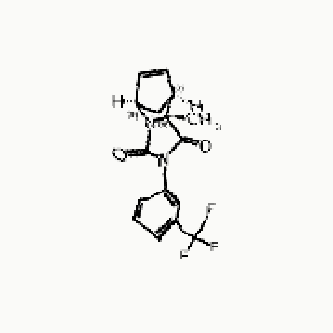 C[C@@]12C(=O)N(c3cccc(C(F)(F)F)c3)C(=O)N1[C@H]1C=C[C@@H]2C1